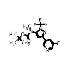 CN(C(=O)OC(C)(C)C)c1cc(-c2cncc(F)c2)nn1C(F)(F)F